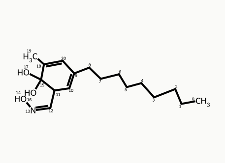 CCCCCCCCCC1=CC(/C=N\O)C(O)(O)C(C)=C1